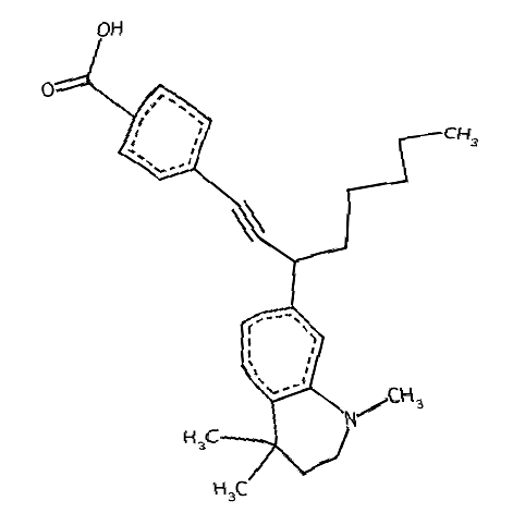 CCCCCC(C#Cc1ccc(C(=O)O)cc1)c1ccc2c(c1)N(C)CCC2(C)C